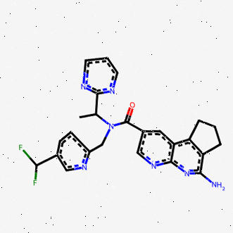 CC(c1ncccn1)N(Cc1ccc(C(F)F)cn1)C(=O)c1cnc2nc(N)c3c(c2c1)CCC3